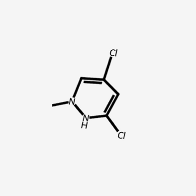 CN1C=C(Cl)C=C(Cl)N1